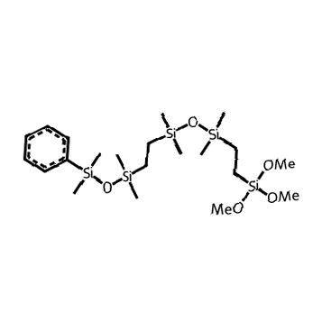 CO[Si](CC[Si](C)(C)O[Si](C)(C)CC[Si](C)(C)O[Si](C)(C)c1ccccc1)(OC)OC